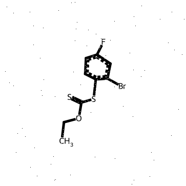 CCOC(=S)Sc1ccc(F)cc1Br